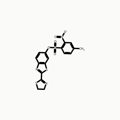 Cc1ccc(S(=O)(=O)Oc2ccc3nc(C4=NCCS4)sc3c2)c([N+](=O)[O-])c1